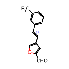 O=Cc1cc(/C=C/c2cccc(C(F)(F)F)c2)co1